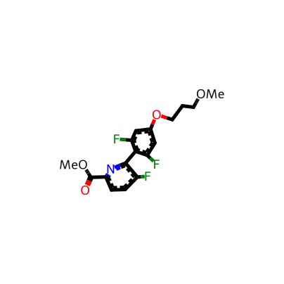 COCCCOc1cc(F)c(-c2nc(C(=O)OC)ccc2F)c(F)c1